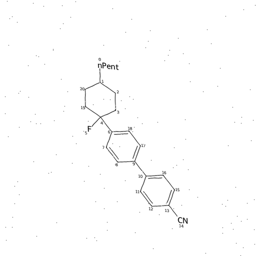 CCCCCC1CCC(F)(c2ccc(-c3ccc(C#N)cc3)cc2)CC1